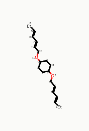 CCC=CC=CCOC1CCC(OCC=CC=CCC)CC1